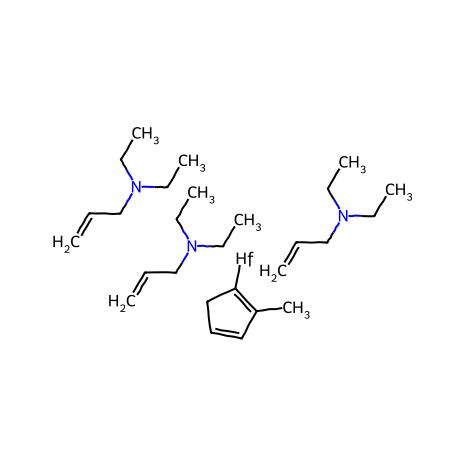 C=CCN(CC)CC.C=CCN(CC)CC.C=CCN(CC)CC.CC1=[C]([Hf])CC=C1